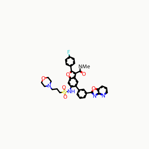 CNC(=O)c1c(-c2ccc(F)cc2)oc2cc(NS(=O)(=O)CCCN3CCOCC3)c(-c3cccc(-c4nc5ncccc5o4)c3)cc12